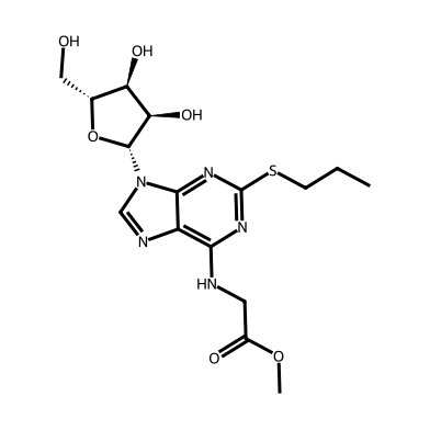 CCCSc1nc(NCC(=O)OC)c2ncn([C@@H]3O[C@H](CO)[C@@H](O)[C@H]3O)c2n1